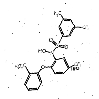 O=C(O)c1ccccc1Oc1ccc(C(F)(F)F)cc1N(O)S(=O)(=O)c1cc(C(F)(F)F)cc(C(F)(F)F)c1.[NaH]